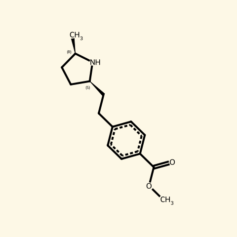 COC(=O)c1ccc(CC[C@H]2CC[C@@H](C)N2)cc1